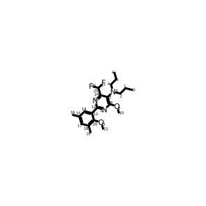 CCCN(CCC)c1c(OC)nc(-c2cc(C)cc(C)c2OC)nc1C(F)F